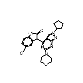 O=C1Nc2ccc(Cl)cc2C1c1nc(N2CCOCC2)nc2nn(C3CCCC3)cc12